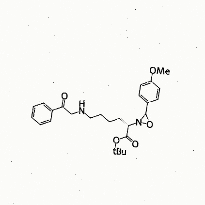 COc1ccc(C2ON2[C@@H](CCCCNCC(=O)c2ccccc2)C(=O)OC(C)(C)C)cc1